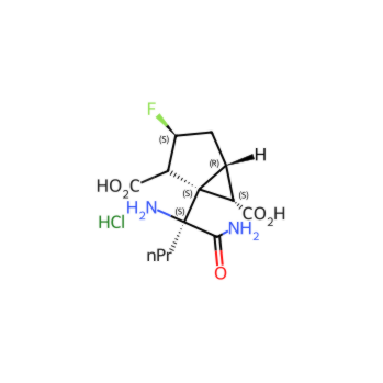 CCC[C@@](N)(C(N)=O)[C@@]12C(C(=O)O)[C@@H](F)C[C@@H]1[C@@H]2C(=O)O.Cl